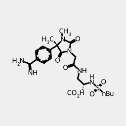 CCCCS(=O)(=O)N[C@@H](CNC(=O)CN1C(=O)N(C)[C@@](C)(c2ccc(C(=N)N)cc2)C1=O)C(=O)O